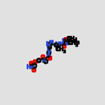 Cc1cc(-c2ncnn3cc(N4CCN(C(=O)CC5CCCCN5C(=O)c5ccc(OC6CCC(=O)NC6=O)cc5)CC4)cc23)ccc1CNC(=O)c1noc(C(C)(C)C)n1